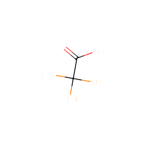 O=C(O)C(P)(P)P